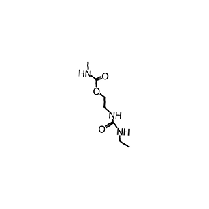 CCNC(=O)NCCOC(=O)NC